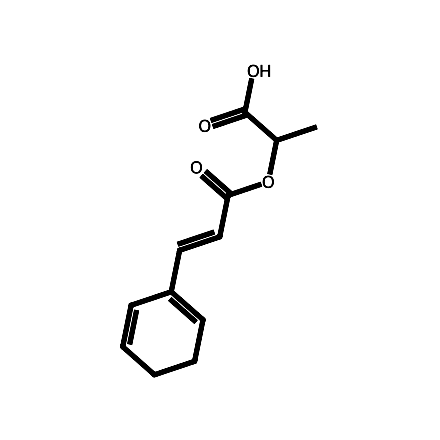 CC(OC(=O)/C=C/C1=CCCC=C1)C(=O)O